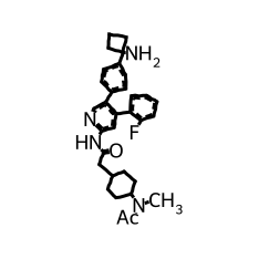 CC(=O)N(C)C1CCC(CC(=O)Nc2cc(-c3ccccc3F)c(-c3ccc(C4(N)CCC4)cc3)cn2)CC1